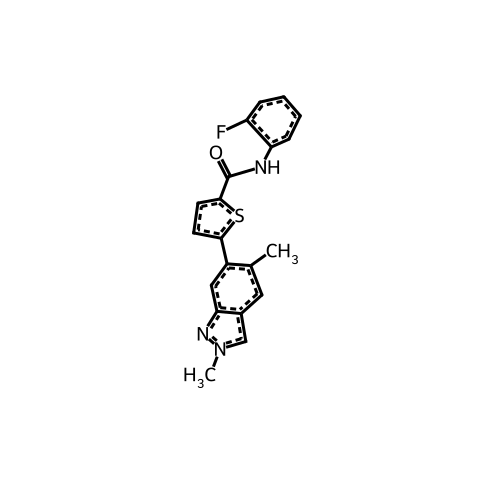 Cc1cc2cn(C)nc2cc1-c1ccc(C(=O)Nc2ccccc2F)s1